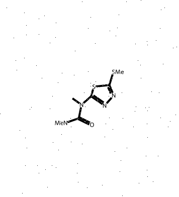 CNC(=O)N(C)c1nnc(SC)s1